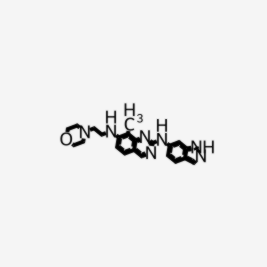 Cc1c(NCCN2CCOCC2)ccc2cnc(Nc3ccc4cn[nH]c4c3)nc12